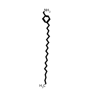 CCCCCCCCCCCCCCCCCCCCCCc1ccc(CN)cc1